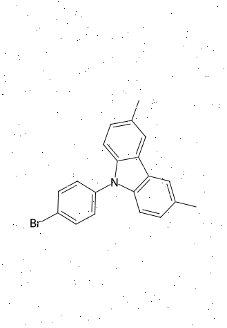 Cc1ccc2c(c1)c1cc(C)ccc1n2-c1ccc(Br)cc1